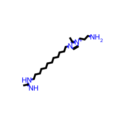 CC(=N)NCCCCCCCCCCCCn1cc[n+](CCCN)c1C